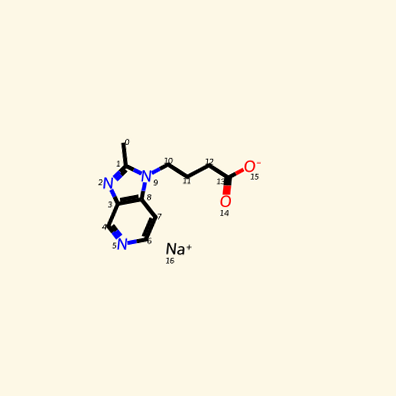 Cc1nc2cnccc2n1CCCC(=O)[O-].[Na+]